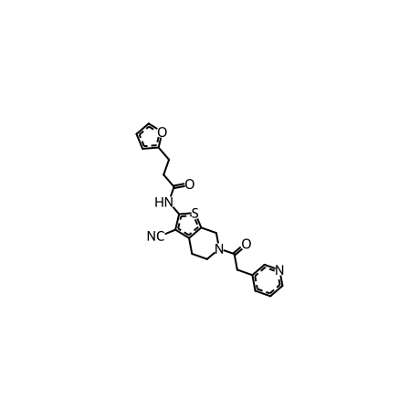 N#Cc1c(NC(=O)CCc2ccco2)sc2c1CCN(C(=O)Cc1cccnc1)C2